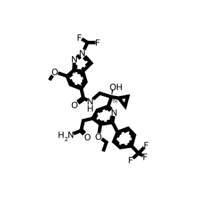 CCOc1c(CC(N)=O)cc([C@@](O)(CNC(=O)c2cc(OC)c3nn(C(F)F)cc3c2)C2CC2)nc1-c1ccc(C(F)(F)F)cc1